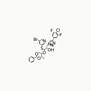 C[C@H]1OC(c2ccccc2)OCC1OC(Sc1cncc(Br)c1)[C@@H](O)Cn1cc(-c2cc(F)c(Cl)c(F)c2)nn1